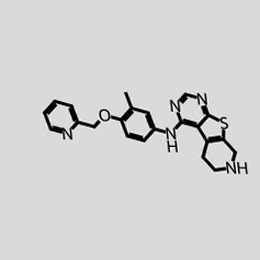 Cc1cc(Nc2ncnc3sc4c(c23)CCNC4)ccc1OCc1ccccn1